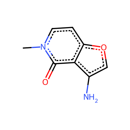 Cn1ccc2occ(N)c2c1=O